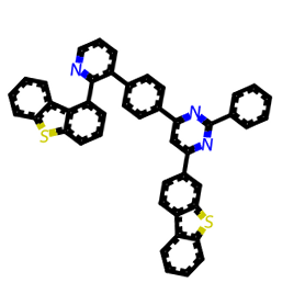 c1ccc(-c2nc(-c3ccc(-c4cccnc4-c4cccc5sc6ccccc6c45)cc3)cc(-c3ccc4c(c3)sc3ccccc34)n2)cc1